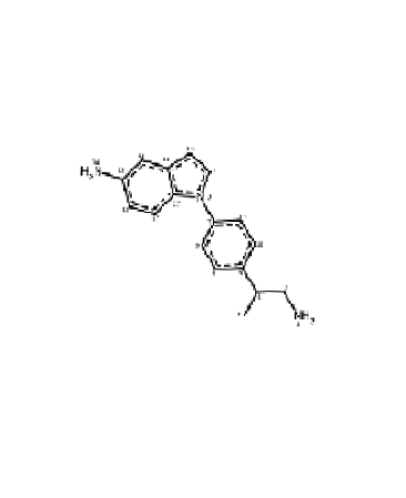 CC(CN)c1ccc(-n2ccc3cc(N)ccc32)cc1